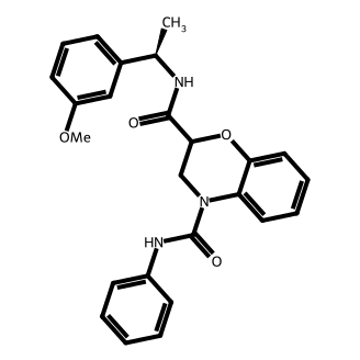 COc1cccc([C@@H](C)NC(=O)C2CN(C(=O)Nc3ccccc3)c3ccccc3O2)c1